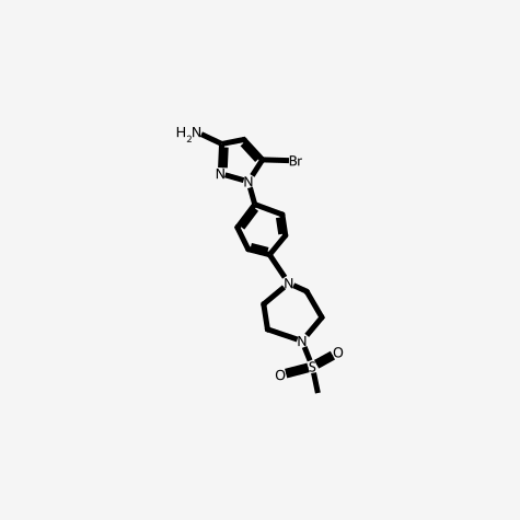 CS(=O)(=O)N1CCN(c2ccc(-n3nc(N)cc3Br)cc2)CC1